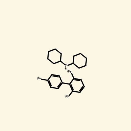 C1CCC(PC2CCCCC2)CC1.CC(C)c1ccc(-c2c(C(C)C)cccc2C(C)C)cc1